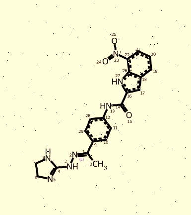 C/C(=N\NC1=NCCN1)c1ccc(NC(=O)c2cc3cccc([N+](=O)[O-])c3[nH]2)cc1